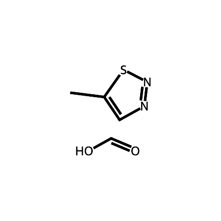 Cc1cnns1.O=CO